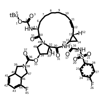 CC(C)(C)OC(=O)N[C@H]1CCCCC/C=C\[C@@H]2C[C@@]2(C(=O)NS(=O)(=O)c2ccc(F)cc2)NC(=O)[C@@H]2C[C@@H](OC(=O)N3CC4C=CC=C(F)C4C3)CN2C1=O